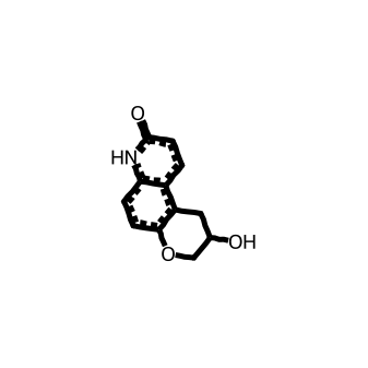 O=c1ccc2c3c(ccc2[nH]1)OCC(O)C3